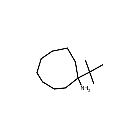 CC(C)(C)C1(N)CCCCCCCC1